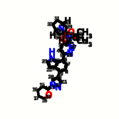 CN(c1ccc(-c2ccc(-c3cnn(C4CCCCO4)c3)c3cc[nH]c23)nn1)[C@@H]1C[C@H]2CC[C@@H](C1)N2C(=O)OC(C)(C)C